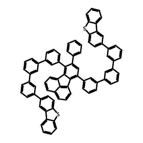 c1ccc(-c2cc(-c3cccc(-c4cccc(-c5cccc(-c6ccc7sc8ccccc8c7c6)c5)c4)c3)c3c(c2-c2cccc(-c4cccc(-c5cccc(-c6ccc7sc8ccccc8c7c6)c5)c4)c2)-c2cccc4cccc-3c24)cc1